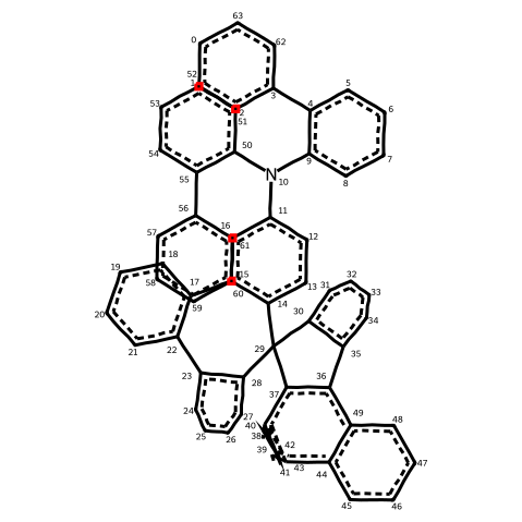 c1ccc(-c2ccccc2N(c2ccc3c(c2)-c2ccccc2-c2ccccc2C32c3ccccc3-c3c2c2ccccc2c2ccccc32)c2ccccc2-c2ccccc2)cc1